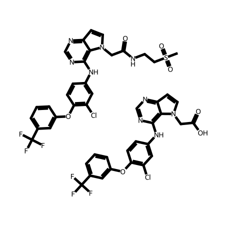 CS(=O)(=O)CCNC(=O)Cn1ccc2ncnc(Nc3ccc(Oc4cccc(C(F)(F)F)c4)c(Cl)c3)c21.O=C(O)Cn1ccc2ncnc(Nc3ccc(Oc4cccc(C(F)(F)F)c4)c(Cl)c3)c21